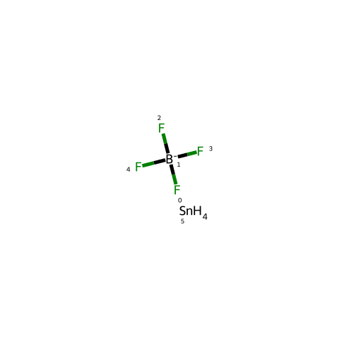 F[B-](F)(F)F.[SnH4]